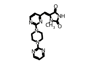 CN1C(=O)NC(=O)C1=Cc1ccnc(N2CCN(c3ncccn3)CC2)n1